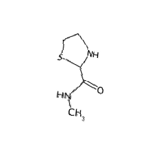 CNC(=O)C1NCCS1